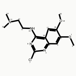 COc1cc2nc(Cl)nc(NCCN(C)C)c2cc1OC